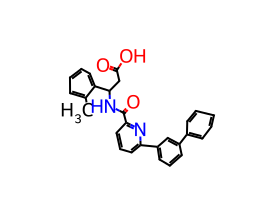 Cc1ccccc1C(CC(=O)O)NC(=O)c1cccc(-c2cccc(-c3ccccc3)c2)n1